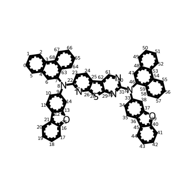 c1ccc2c(c1)cc(N(c1ccc3c(c1)oc1ccccc13)c1ccc3c(n1)sc1nc(N(c4ccc5c(c4)oc4ccccc45)c4cc5ccccc5c5ccccc45)ncc13)c1ccccc12